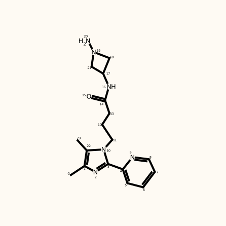 Cc1nc(-c2ccccn2)n(CCCC(=O)NC2CN(N)C2)c1C